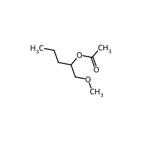 CCCC(COC)OC(C)=O